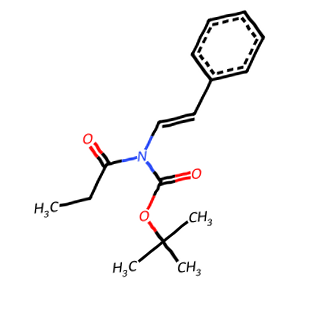 CCC(=O)N(C=Cc1ccccc1)C(=O)OC(C)(C)C